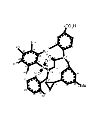 Cc1cc(C(=O)O)ccc1N(Cc1cc(C2CC2)cc(C(C)(C)C)c1)C(=O)CN(Cc1ccccc1F)S(=O)(=O)c1c(F)c(F)c(F)c(F)c1F